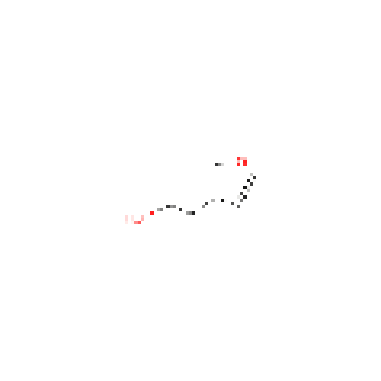 OCCC1C=COC1